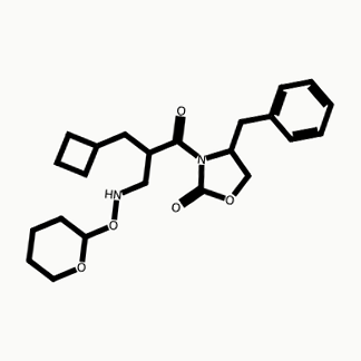 O=C1OCC(Cc2ccccc2)N1C(=O)C(CNOC1CCCCO1)CC1CCC1